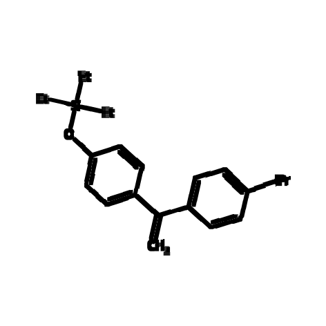 C=C(c1ccc(O[Si](CC)(CC)CC)cc1)c1ccc(C(C)C)cc1